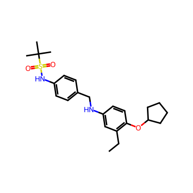 CCc1cc(NCc2ccc(NS(=O)(=O)C(C)(C)C)cc2)ccc1OC1CCCC1